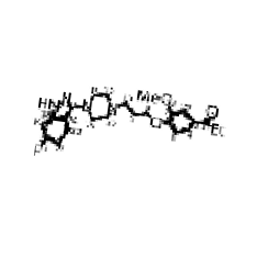 CCC(=O)c1ccc(OCCCN2CCN(c3n[nH]c4cc(F)ccc34)CC2)c(OC)c1